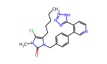 CCCCCc1c(Cl)n(C)c(=O)n1Cc1ccc(-c2cnccc2-c2nnn[nH]2)cc1